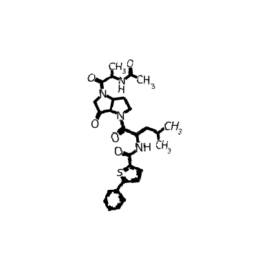 CC(=O)NC(C)C(=O)N1CC(=O)C2C1CCN2C(=O)C(CC(C)C)NC(=O)c1ccc(-c2ccccc2)s1